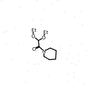 CCOC(OCC)C(=O)N1CCCCC1